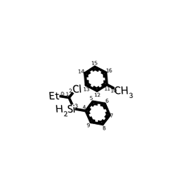 CCC(Cl)[SiH2]c1ccccc1.Cc1ccccc1